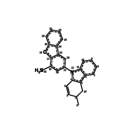 CC1C=Cc2c(c3ccccc3n2-c2cc([SiH3])c3oc4ccccc4c3c2)C1